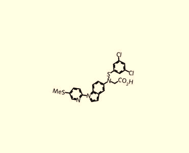 CSc1ccc(-n2ccc3cc(N(CC(=O)O)Sc4cc(Cl)cc(Cl)c4)ccc32)nc1